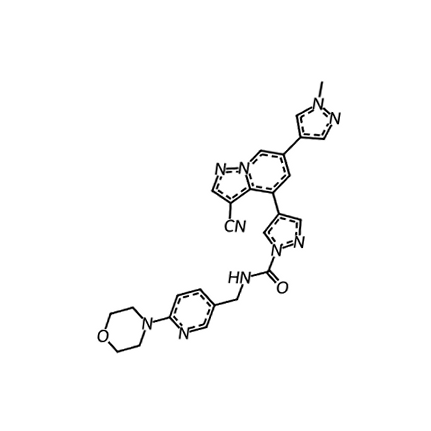 Cn1cc(-c2cc(-c3cnn(C(=O)NCc4ccc(N5CCOCC5)nc4)c3)c3c(C#N)cnn3c2)cn1